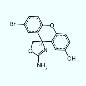 NC1=N[C@@]2(CO1)c1cc(O)ccc1Oc1ccc(Br)cc12